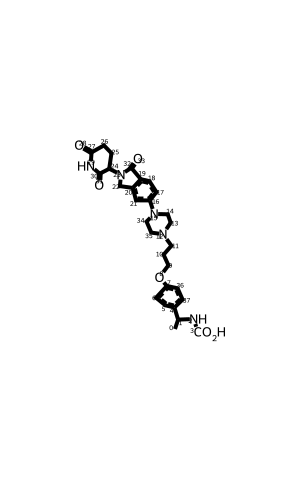 CC(NC(=O)O)c1ccc(OCCCN2CCN(c3ccc4c(c3)CN(C3CCC(=O)NC3=O)C4=O)CC2)cc1